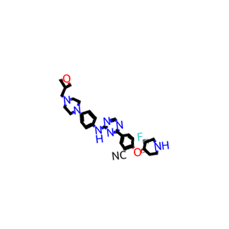 N#Cc1cc(-c2ncnc(Nc3ccc(N4CCN(CC5COC5)CC4)cc3)n2)ccc1O[C@H]1CCNC[C@H]1F